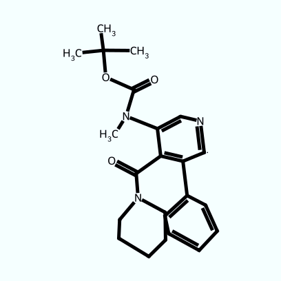 CN(C(=O)OC(C)(C)C)c1cn[c]c(-c2ccccc2)c1C(=O)N1CCCCC1